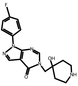 O=c1c2cnn(-c3ccc(F)cc3)c2ncn1CC1(O)CCNCC1